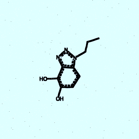 CCCn1nnc2c(O)c(O)ccc21